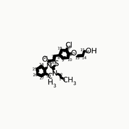 CCC/N=C1\S/C(=C\c2ccc(O/C=C\CO)c(Cl)c2)C(=O)N1c1ccccc1C